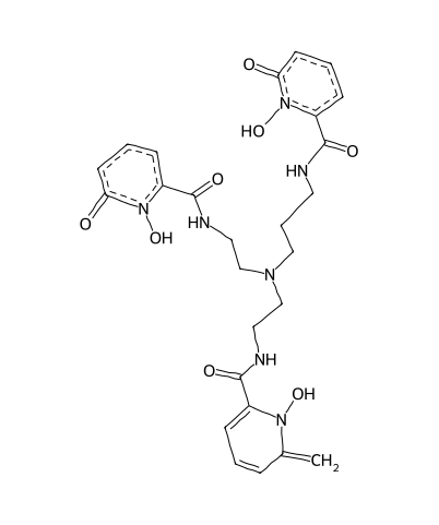 C=C1C=CC=C(C(=O)NCCN(CCCNC(=O)c2cccc(=O)n2O)CCNC(=O)c2cccc(=O)n2O)N1O